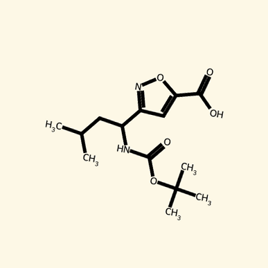 CC(C)CC(NC(=O)OC(C)(C)C)c1cc(C(=O)O)on1